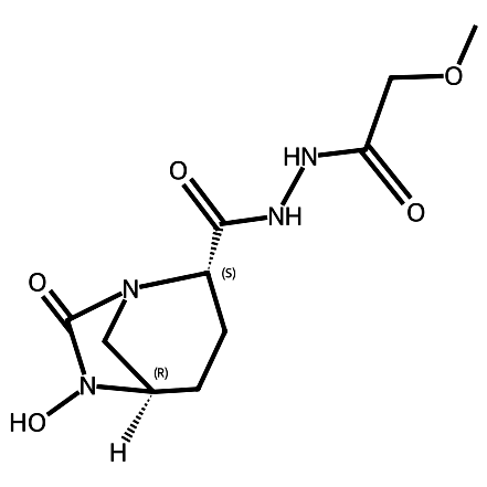 COCC(=O)NNC(=O)[C@@H]1CC[C@@H]2CN1C(=O)N2O